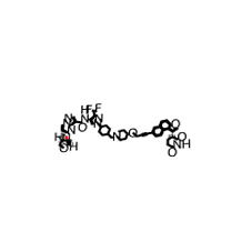 O=C1CC[C@H](c2coc3ccc4cc(C#CCOC5CCN(CC6CCC(n7cc(NC(=O)c8cnn9ccc(N%10C[C@H]%11C[C@@H]%10CO%11)nc89)c(C(F)F)n7)CC6)CC5)ccc4c23)C(=O)N1